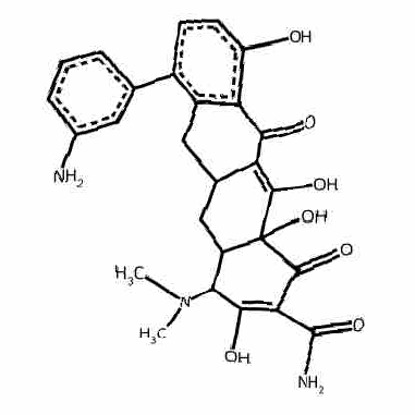 CN(C)C1C(O)=C(C(N)=O)C(=O)C2(O)C(O)=C3C(=O)c4c(O)ccc(-c5cccc(N)c5)c4CC3CC12